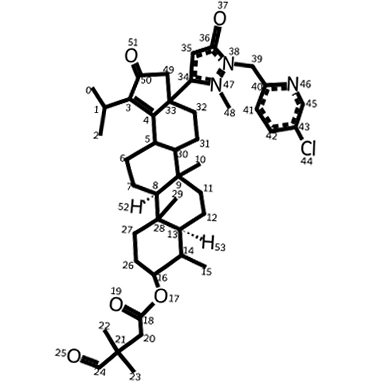 CC(C)C1=C2C3CC[C@H]4C(C)(CC[C@H]5C(C)C(OC(=O)CC(C)(C)C=O)CCC54C)C3CCC2(c2cc(=O)n(Cc3ccc(Cl)cn3)n2C)CC1=O